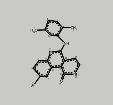 Cc1ccc(C)c(Nc2nc3ccc(Br)cc3c3c(=O)[nH]ccc23)c1